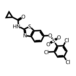 O=C(Nc1nc2ccc(OS(=O)(=O)c3c(Cl)cc(Cl)cc3Cl)cc2s1)C1CC1